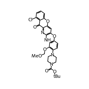 COCOc1cc(Oc2cc3oc4cccc(Cl)c4c(=O)c3nc2N)ccc1N1CCN(C(=O)OC(C)(C)C)CC1